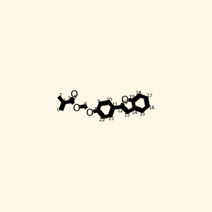 C=C(C)C(=O)OCOc1ccc(-c2cc3ccccc3o2)cc1